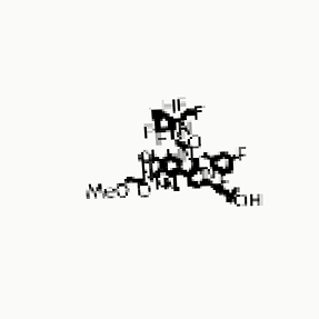 COCC(=O)Nc1nn(C)c2c(-c3ccc(C#CC(C)(C)O)nc3[C@H](Cc3cc(F)cc(F)c3)NC(=O)Cn3nc(C(F)F)c4c3C(F)(F)C3C[C@H]43)ccc(Cl)c12